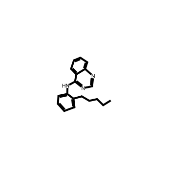 CCCCCc1ccccc1Nc1ncnc2ccccc12